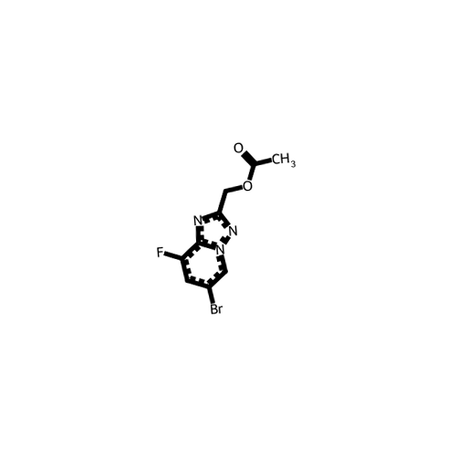 CC(=O)OCc1nc2c(F)cc(Br)cn2n1